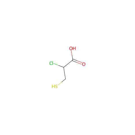 O=C(O)C(Cl)CS